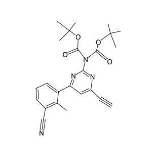 C#Cc1cc(-c2cccc(C#N)c2C)nc(N(C(=O)OC(C)(C)C)C(=O)OC(C)(C)C)n1